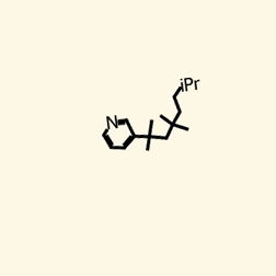 CC(C)CCC(C)(C)CC(C)(C)c1cccnc1